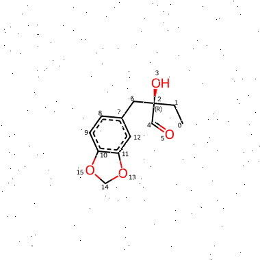 CC[C@](O)(C=O)Cc1ccc2c(c1)OCO2